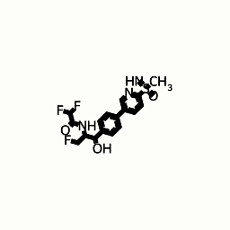 CS(=N)(=O)c1ccc(-c2ccc(C(O)C(CF)NC(=O)C(F)F)cc2)cn1